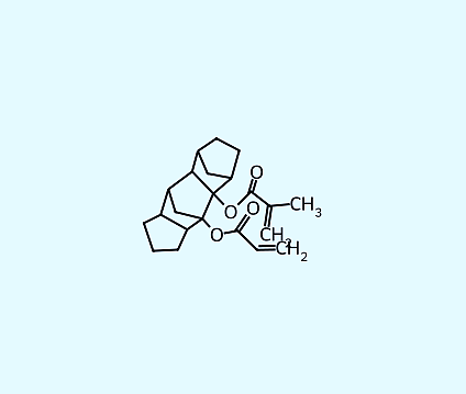 C=CC(=O)OC12CC(C3CCCC31)C1C3CCC(C3)C12OC(=O)C(=C)C